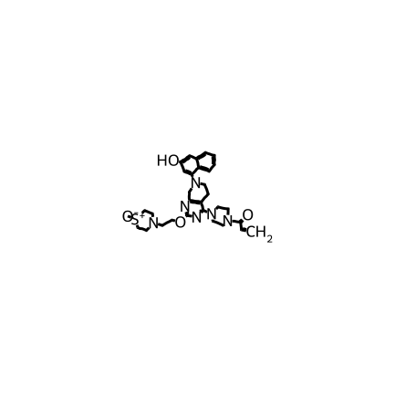 C=CC(=O)N1CCN(c2nc(OCCN3CC[S+]([O-])CC3)nc3c2CCN(c2cc(O)cc4ccccc24)C3)CC1